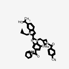 COc1cc(C(=O)N2CC3CCC2[C@@H]3N)cc2nc(-c3cc4ccc(C(C)O)cc4n3CC3CC3)n(CC3CN(C(=O)c4ccc(C#N)cc4)C3)c12